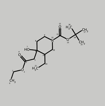 CCOC(=O)CC1(O)CCN(C(=O)OC(C)(C)C)CC1CC